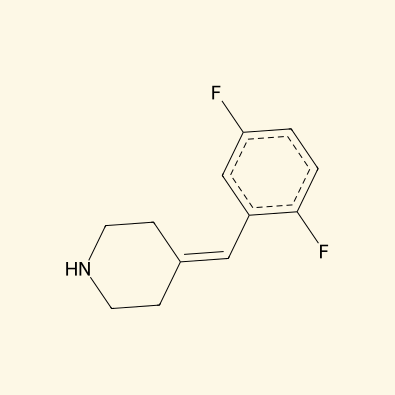 Fc1ccc(F)c(C=C2CCNCC2)c1